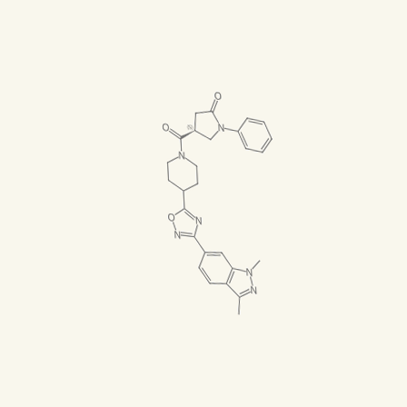 Cc1nn(C)c2cc(-c3noc(C4CCN(C(=O)[C@H]5CC(=O)N(c6ccccc6)C5)CC4)n3)ccc12